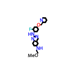 COCCNc1ccc2nc(Nc3ccc(OCc4ccccn4)cc3F)ncc2c1